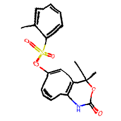 Cc1ccccc1S(=O)(=O)Oc1ccc2c(c1)C(C)(C)OC(=O)N2